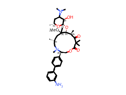 CO[C@]1(C)C[C@@H](C)CN(C)[C@H](c2ccc(-c3cccc(N)c3)cc2)COC(=O)C(C)(C)C(=O)[C@H](C)[C@H]1O[C@@H]1O[C@H](C)CC(N(C)C)[C@H]1O